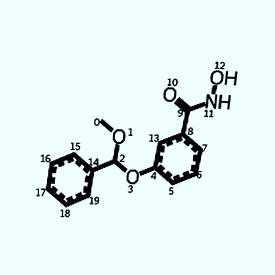 COC(Oc1cccc(C(=O)NO)c1)c1ccccc1